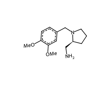 COc1ccc(CN2CCC[C@H]2CN)cc1OC